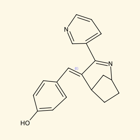 Oc1ccc(/C=C2/C(c3cccnc3)=NC3CCC2C3)cc1